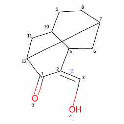 O=C1/C(=C\O)C2CC3CCC2CC13